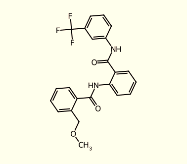 COCc1ccccc1C(=O)Nc1ccccc1C(=O)Nc1cccc(C(F)(F)F)c1